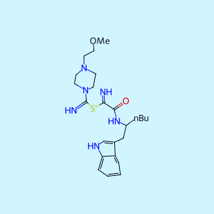 CCCCC(Cc1c[nH]c2ccccc12)NC(=O)C(=N)SC(=N)N1CCN(CCOC)CC1